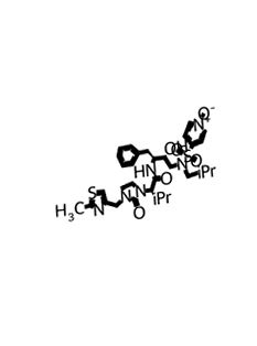 Cc1nc(CN2CCN([C@H](C(=O)N[C@@H](Cc3ccccc3)[C@H](O)CN(CC(C)C)S(=O)(=O)c3cc[n+]([O-])cc3)C(C)C)C2=O)cs1